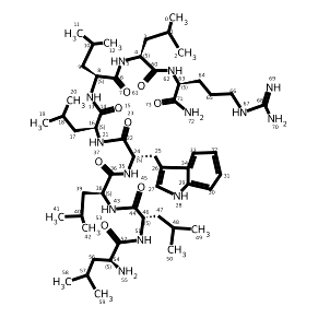 CC(C)C[C@H](NC(=O)[C@H](CC(C)C)NC(=O)[C@H](CC(C)C)NC(=O)[C@H](Cc1c[nH]c2ccccc12)NC(=O)[C@H](CC(C)C)NC(=O)[C@H](CC(C)C)NC(=O)[C@@H](N)CC(C)C)C(=O)N[C@@H](CCCNC(=N)N)C(N)=O